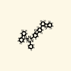 c1ccc(-c2nc(-c3ccc4c(c3)sc3cc(-c5cccc6c5sc5ccccc56)ccc34)nc(-n3c4ccccc4c4ccccc43)n2)cc1